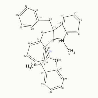 CN1/C(=C/C2=[N+](C)c3ccccc3C2(Cc2ccccc2)Cc2ccccc2)Oc2ccccc21